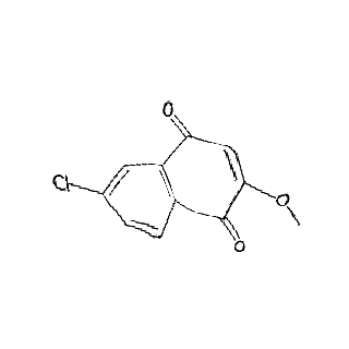 COC1=CC(=O)c2cc(Cl)ccc2C1=O